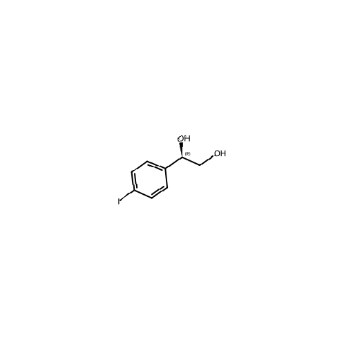 OC[C@H](O)c1ccc(I)cc1